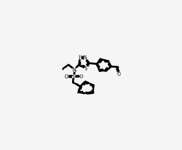 CCN(c1nnc(-c2ccc(C=O)cc2)s1)S(=O)(=O)Cc1ccccc1